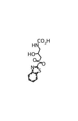 O=C(O)NCC(O)CS(=O)(=O)c1nc2ccccc2s1